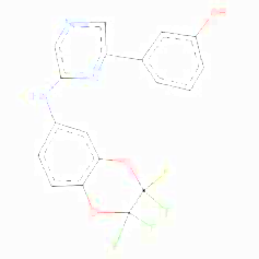 Oc1cccc(-c2cncc(Nc3ccc4c(c3)OC(F)(F)C(F)(F)O4)n2)c1